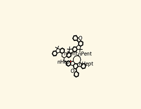 CCCCCCCC12CCC(CCCCC)(CCCCC)CCC3(CCCCCCC)c4ccccc4-c4c3c1c(c1oc3ccccc3c41)-c1ccc(CC(Cc3cccc4c3-c3ccccc3C4(C)C)c3ccc4c(c3)C(C)(C)c3cc5c(cc3-4)C(C)(C)c3ccc4oc6ccccc6c4c3-5)cc12